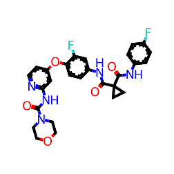 O=C(Nc1cc(Oc2ccc(NC(=O)C3(C(=O)Nc4ccc(F)cc4)CC3)cc2F)ccn1)N1CCOCC1